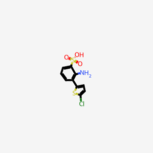 Nc1c(-c2ccc(Cl)s2)cccc1S(=O)(=O)O